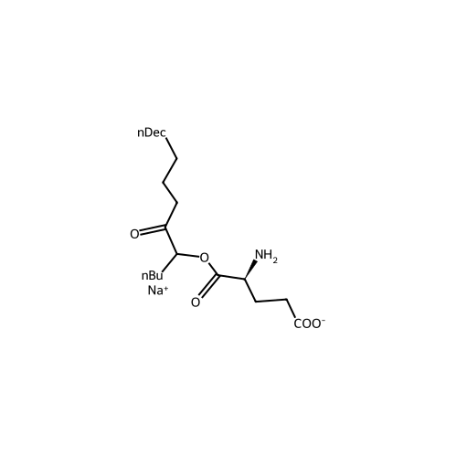 CCCCCCCCCCCCCC(=O)C(CCCC)OC(=O)[C@@H](N)CCC(=O)[O-].[Na+]